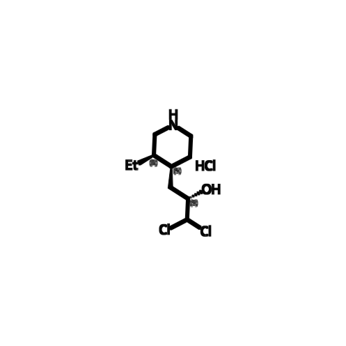 CC[C@H]1CNCC[C@H]1C[C@H](O)C(Cl)Cl.Cl